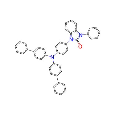 O=c1n(-c2ccccc2)c2ccccc2n1-c1ccc(N(c2ccc(-c3ccccc3)cc2)c2ccc(-c3ccccc3)cc2)cc1